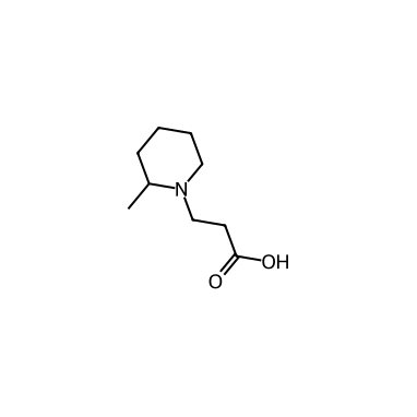 CC1CCCCN1CCC(=O)O